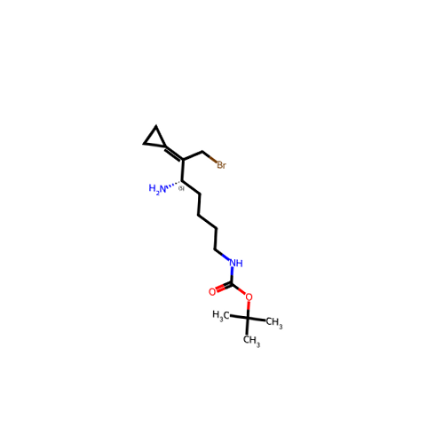 CC(C)(C)OC(=O)NCCCC[C@H](N)C(CBr)=C1CC1